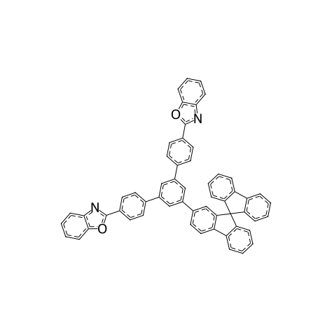 c1ccc2c(c1)-c1ccccc1C21c2ccccc2-c2ccc(-c3cc(-c4ccc(-c5nc6ccccc6o5)cc4)cc(-c4ccc(-c5nc6ccccc6o5)cc4)c3)cc21